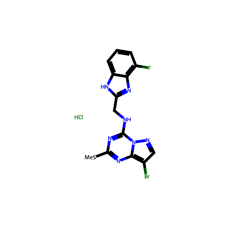 CSc1nc(NCc2nc3c(F)cccc3[nH]2)n2ncc(Br)c2n1.Cl